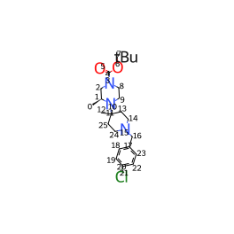 C[C@H]1CN(C(=O)OC(C)(C)C)CCN1C1(C)CCN(Cc2ccc(Cl)cc2)CC1